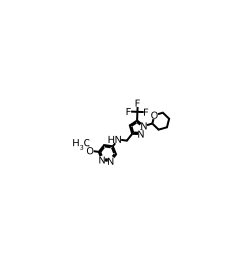 COc1cc(NCc2cc(C(F)(F)F)n(C3CCCCO3)n2)cnn1